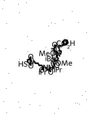 CC[C@H](C)[C@@H]([C@@H](CC(=O)N1CCC[C@H]1[C@H](OC)[C@@H](C)C(=O)N[C@@H](Cc1ccccc1)C(=O)O)OC)N(C)C(=O)C(NC(=O)[C@@H](NC(=O)CCCCCN1C(=O)CC(S)C1=O)C(C)C)C(C)C